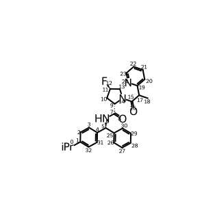 CC(C)c1ccc([C@@H](NC(=O)[C@@H]2C[C@@H](F)CN2C(=O)C(C)c2ccccn2)c2ccccc2)cc1